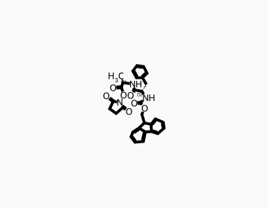 C[C@H](NC(=O)[C@H](Cc1ccccc1)NC(=O)OCC1c2ccccc2-c2ccccc21)C(=O)ON1C(=O)CCC1=O